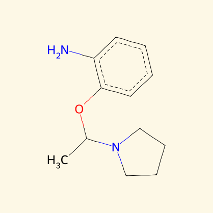 CC(Oc1ccccc1N)N1CCCC1